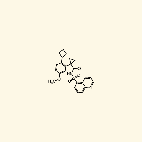 COc1ccc(C2CCC2)c(C2(C(=O)NS(=O)(=O)c3cccc4ncccc34)CC2)c1